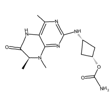 Cc1nc(N[C@H]2C[C@@H](OC(N)=O)C2)nc2c1NC(=O)[C@H](C)N2C